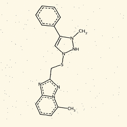 Cc1cccc2nc(CSN3C=C(c4ccccc4)N(C)N3)nn12